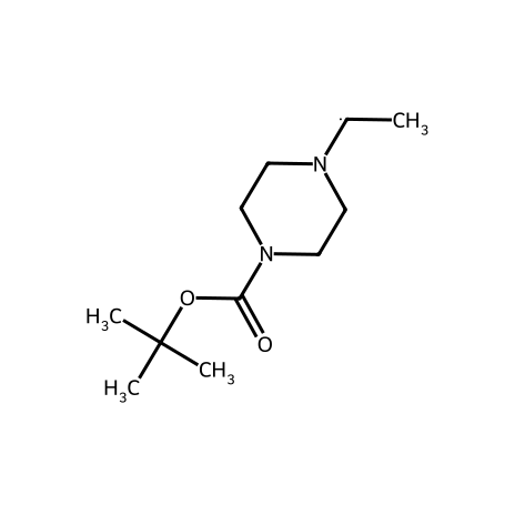 C[CH]N1CCN(C(=O)OC(C)(C)C)CC1